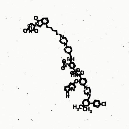 CC1(C)CCC(CN2CCN(c3ccc(C(=O)NS(=O)(=O)c4ccc(NCC5CCC(N6CCN(CCCCCCc7cccc8c7CN(C7CCC(=O)NC7=O)C8=O)CC6)CC5)c([N+](=O)[O-])c4)c(Oc4cnc5[nH]ccc5c4)c3)CC2)=C(c2ccc(Cl)cc2)C1